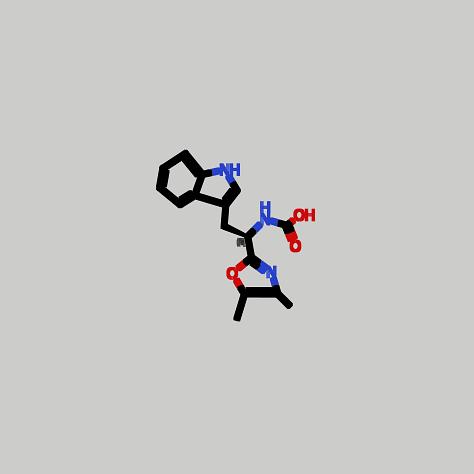 Cc1nc([C@@H](Cc2c[nH]c3ccccc23)NC(=O)O)oc1C